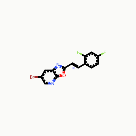 Fc1ccc(/C=C/c2nc3cc(Br)cnc3o2)c(F)c1